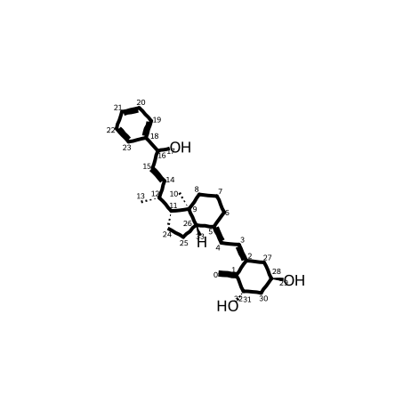 C=C1/C(=C\C=C2/CCC[C@]3(C)[C@@H]([C@H](C)/C=C/C(O)c4ccccc4)CC[C@@H]23)C[C@@H](O)C[C@@H]1O